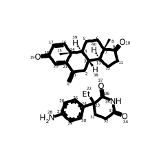 C=C1C[C@@H]2[C@H](CC[C@]3(C)C(=O)CC[C@@H]23)[C@@]2(C)C=CC(=O)C=C12.CCC1(c2ccc(N)cc2)CCC(=O)NC1=O